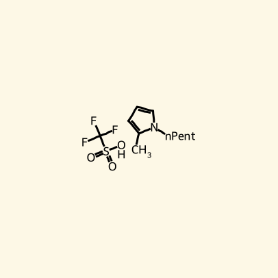 CCCCCn1cccc1C.O=S(=O)(O)C(F)(F)F